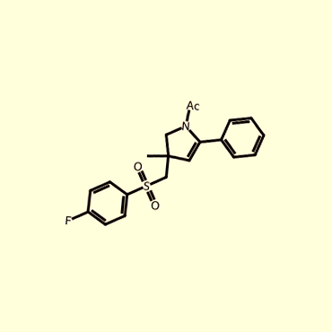 CC(=O)N1CC(C)(CS(=O)(=O)c2ccc(F)cc2)C=C1c1ccccc1